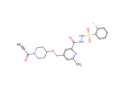 C#CC(=O)N1CCC(OCc2cc(C)nc(C(=O)NNS(=O)(=O)c3ccccc3F)c2)CC1